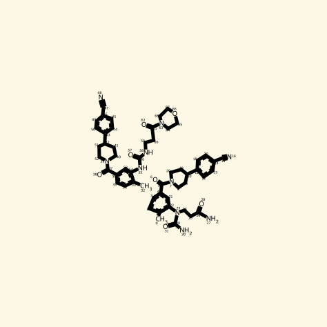 Cc1ccc(C(=O)N2CCC(c3ccc(C#N)cc3)CC2)cc1N(CCC(N)=O)C(N)=O.Cc1ccc(C(=O)N2CCC(c3ccc(C#N)cc3)CC2)cc1NC(=O)NCCC(=O)N1CCOCC1